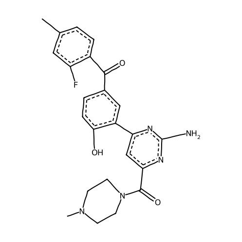 Cc1ccc(C(=O)c2ccc(O)c(-c3cc(C(=O)N4CCN(C)CC4)nc(N)n3)c2)c(F)c1